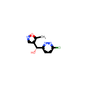 Cc1oncc1[C@@H](O)c1ccc(Cl)nn1